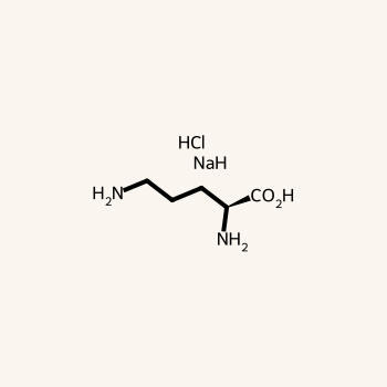 Cl.NCCC[C@H](N)C(=O)O.[NaH]